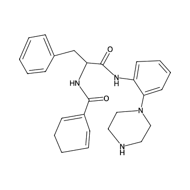 O=C(NC(Cc1ccccc1)C(=O)Nc1ccccc1N1CCNCC1)C1=CCCC=C1